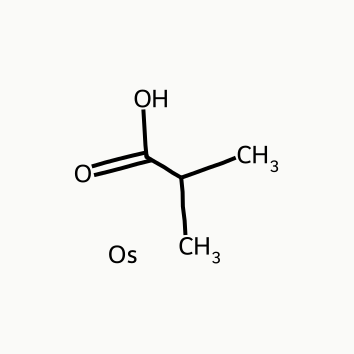 CC(C)C(=O)O.[Os]